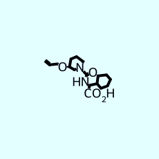 C=CCO[C@H]1CCCN(C(=O)NC(C(=O)O)C2CCCCC2)C1